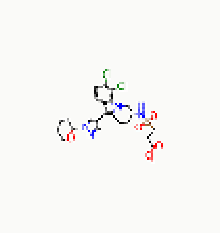 COC(=O)CCS(=O)(=O)NC1CCc2c(-c3cnn(C4CCCCO4)c3)c3ccc(Cl)c(Cl)c3n2C1